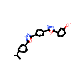 C=C(C)c1ccc(-c2nnc(-c3ccc(-c4nnc(-c5cccc(O)c5)o4)cc3)o2)cc1